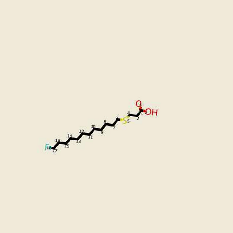 O=C(O)CCSCCCCCCCCCCCCF